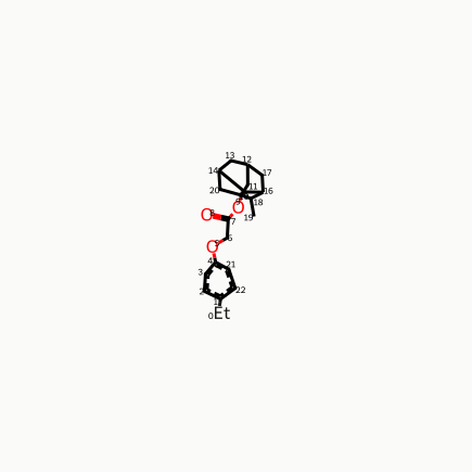 CCc1ccc(OCC(=O)OC23CC4CC(CC(C4)C2C)C3)cc1